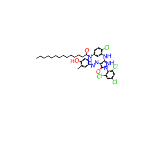 CCCCCCCCCCCCCC(=O)Nc1ccc(Cl)c(Nc2[nH]n(-c3c(Cl)cc(Cl)cc3Cl)c(=O)c2N=Nc2ccc(O)c(C)c2)c1